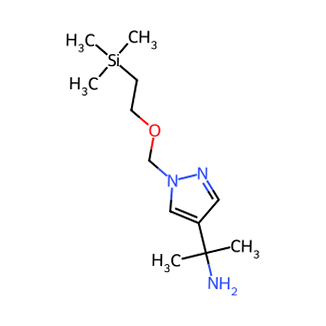 CC(C)(N)c1cnn(COCC[Si](C)(C)C)c1